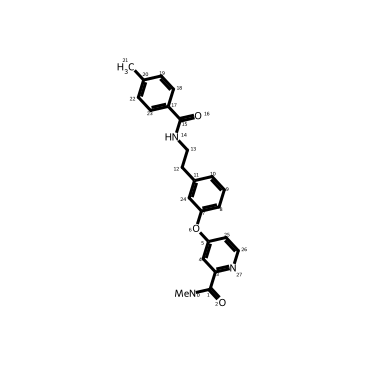 CNC(=O)c1cc(Oc2cccc(CCNC(=O)c3ccc(C)cc3)c2)ccn1